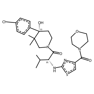 CC(C)[C@@H](Nc1nc(C(=O)N2CCOCC2)cs1)C(=O)N1CC[C@](O)(c2ccc(Cl)cc2)C(C)(C)C1